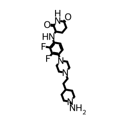 NN1CCC(CCN2CCN(c3ccc(NC4CCC(=O)NC4=O)c(F)c3F)CC2)CC1